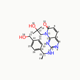 C[C@H](Nc1ncc2ccc(=O)n(CC(C)(C)O)c2n1)c1ccc(CO)cc1